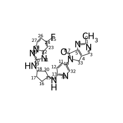 Cc1ncc2c(n1)C(=O)N(c1ccc(N[C@H]3CC[C@H](Nc4nc5cc(F)ccn5n4)C3)nc1)C2